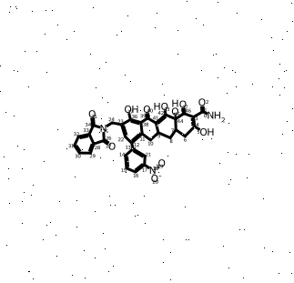 NC(=O)C1=C(O)CC2CC3Cc4c(-c5cccc([N+](=O)[O-])c5)cc(CN5C(=O)c6ccccc6C5=O)c(O)c4C(=O)C3=C(O)[C@]2(O)C1=O